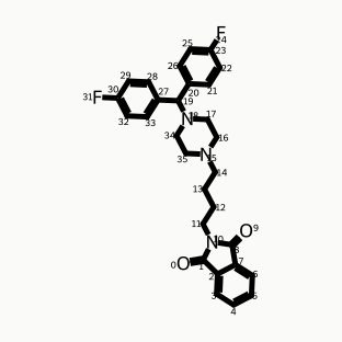 O=C1c2ccccc2C(=O)N1CCCCN1CCN(C(c2ccc(F)cc2)c2ccc(F)cc2)CC1